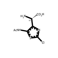 CC(=O)Nc1sc(Cl)nc1[C@H](N)C(=O)O